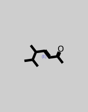 CC(=O)/C=C/C(C)C(C)C